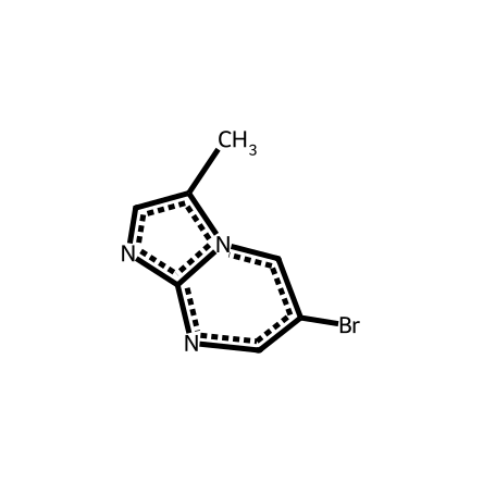 Cc1cnc2ncc(Br)cn12